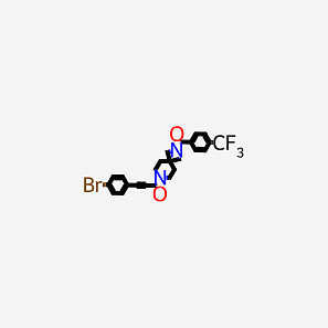 O=C(C#Cc1ccc(Br)cc1)N1CCC2(CC1)CN(C(=O)c1ccc(C(F)(F)F)cc1)C2